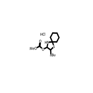 CCCCC1SC2(CCCCC2)NC1OC(=O)OC.Cl